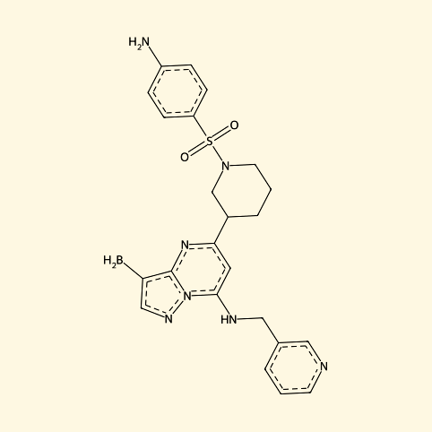 Bc1cnn2c(NCc3cccnc3)cc(C3CCCN(S(=O)(=O)c4ccc(N)cc4)C3)nc12